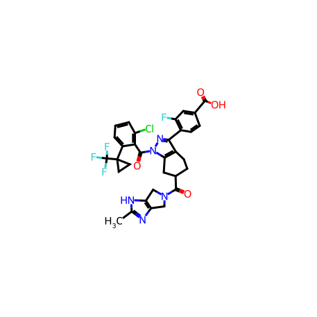 Cc1nc2c([nH]1)CN(C(=O)C1CCc3c(-c4ccc(C(=O)O)cc4F)nn(C(=O)c4c(Cl)cccc4C4(C(F)(F)F)CC4)c3C1)C2